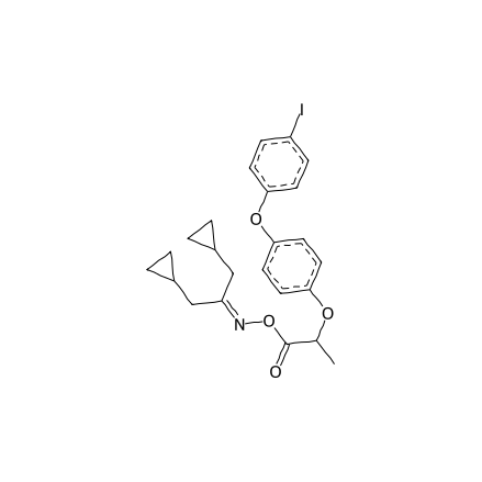 CC(Oc1ccc(Oc2ccc(I)cc2)cc1)C(=O)ON=C(CC1CC1)CC1CC1